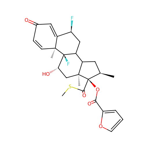 CSC(=O)[C@@]1(OC(=O)c2ccco2)[C@H](C)CC2C3C[C@H](F)C4=CC(=O)C=C[C@]4(C)[C@@]3(F)[C@@H](O)C[C@@]21C